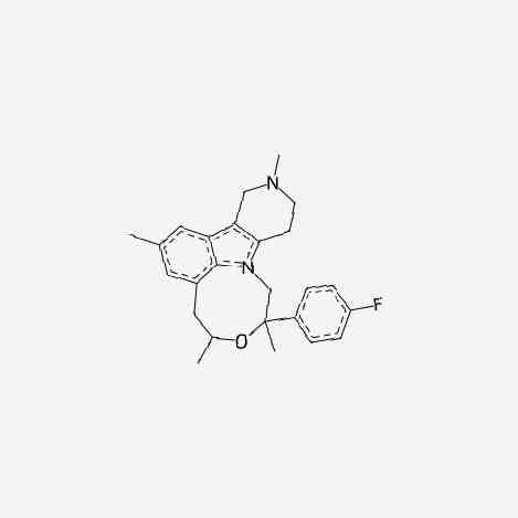 Cc1cc2c3c(c1)c1c(n3CC(C)(c3ccc(F)cc3)OC(C)C2)CCN(C)C1